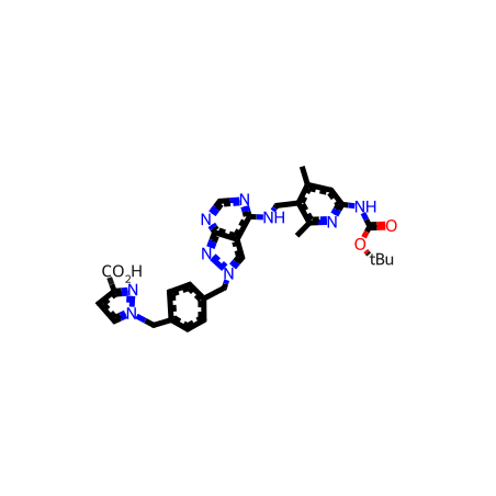 Cc1cc(NC(=O)OC(C)(C)C)nc(C)c1CNc1ncnc2nn(Cc3ccc(Cn4ccc(C(=O)O)n4)cc3)cc12